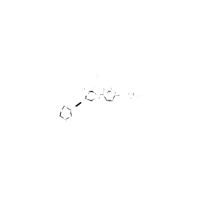 COc1ccc(-n2cc(C#Cc3cccc(Cl)c3)nc2C)nn1